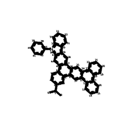 CC(C)c1ccc2c(c1)c1cc3c4ccccc4c4ccccc4c3cc1c1cc3c4ccccc4n(-c4ccccc4)c3cc21